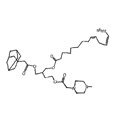 CCCCC/C=C\C/C=C\CCCCCCCC(=O)OCC(CCOC(=O)CN1CCN(C)CC1)COC(=O)CC12CC3CC(CC(C3)C1)C2